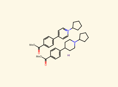 COC(=O)c1ccc(-c2cc[n+](C3CCCC3)cc2)cc1.COC(=O)c1ccc(C2CCN(C3CCCC3)CC2)cc1.I